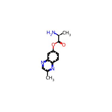 Cc1cnc2cc(OC(=O)[C@H](C)N)ccc2n1